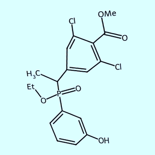 CCOP(=O)(c1cccc(O)c1)C(C)c1cc(Cl)c(C(=O)OC)c(Cl)c1